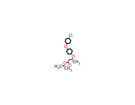 CC(C)OC(=O)CC(C)Oc1ccc(Oc2ccc(Cl)cc2)cc1